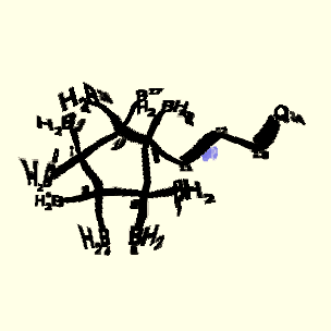 BC1(B)C(B)(B)C(B)(B)C(B)(/C=C/C=O)C1(B)B